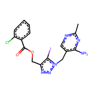 Cc1ncc(Cn2nnc(COC(=O)c3ccccc3Cl)c2I)c(N)n1